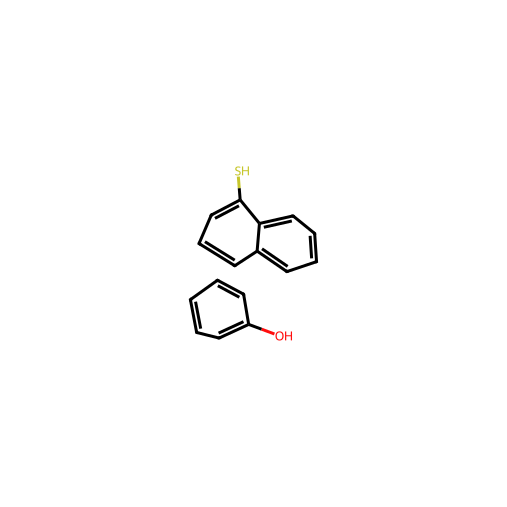 Oc1ccccc1.Sc1cccc2ccccc12